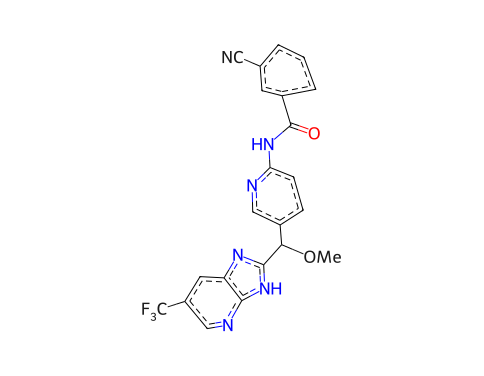 COC(c1ccc(NC(=O)c2cccc(C#N)c2)nc1)c1nc2cc(C(F)(F)F)cnc2[nH]1